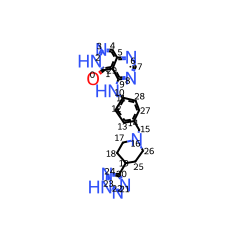 O=c1[nH]ncc2n[c]nc(Nc3ccc(CN4CCC(c5nn[nH]n5)CC4)cc3)c12